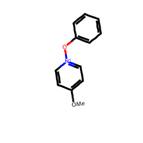 COc1cc[n+](Oc2ccccc2)cc1